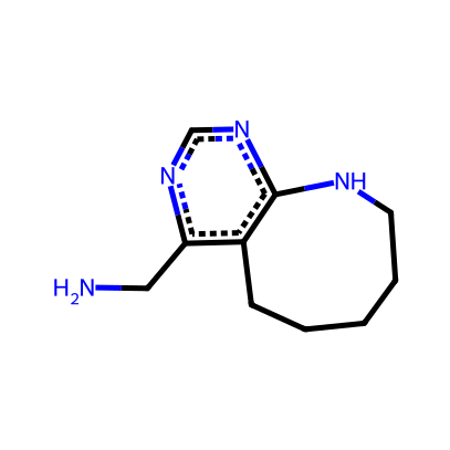 NCc1ncnc2c1CCCCCN2